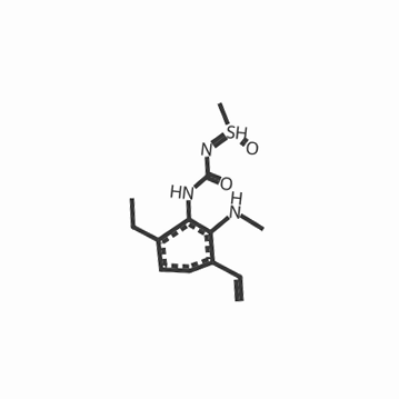 C=Cc1ccc(CC)c(NC(=O)/N=[SH](/C)=O)c1NC